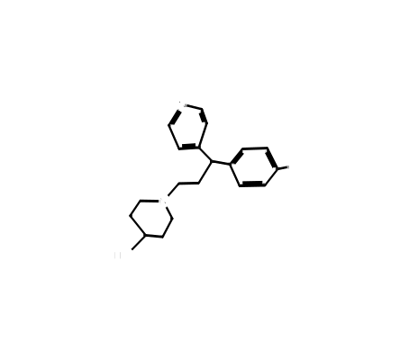 OC1CCN(C[CH]C(c2ccncc2)c2ccc(F)cc2)CC1